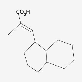 CC(=CC1CCCC2CCCCC12)C(=O)O